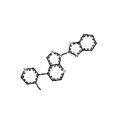 Cc1ccncc1-c1ccnc2c1cnn2-c1nc2ccccc2s1